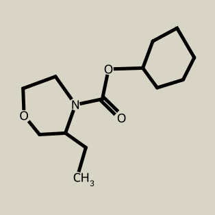 CCC1COCCN1C(=O)OC1CCCCC1